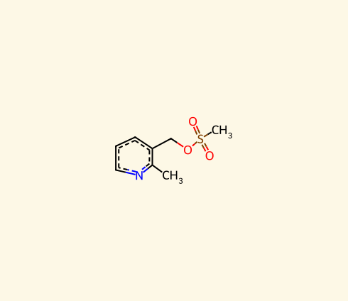 Cc1ncccc1COS(C)(=O)=O